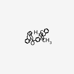 Cc1ccccc1CC(=O)N(C)c1ccc(C(=O)N2Cc3cccn3Cc3ccccc32)cc1